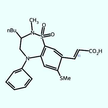 CCCCC1CN(c2ccccc2)c2cc(SC)c(/C=C/C(=O)O)cc2S(=O)(=O)N1C